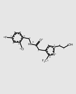 O=C(Cc1cn(CCO)nc1C(F)(F)F)NCc1ccc(F)cc1Cl